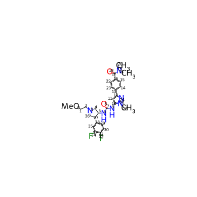 COCCN1C[C@@H](NC(=O)Nc2cc(-c3ccc(C(=O)N(C)C)cc3)nn2C)[C@H](c2ccc(F)c(F)c2)C1